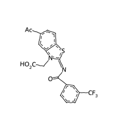 CC(=O)c1ccc2sc(=NC(=O)c3cccc(C(F)(F)F)c3)n(CC(=O)O)c2c1